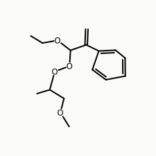 C=C(c1ccccc1)C(OCC)OOC(C)COC